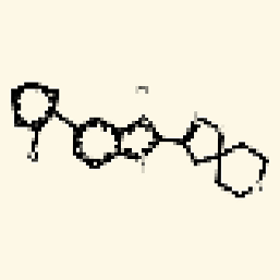 Cl.Clc1ccccc1-c1ccc2[nH]c(C3=NOC4(CCOCC4)C3)nc2c1